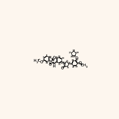 COc1cccc(S(=O)(=O)Nc2cc(N3CC(c4ccc(OC)c(OC5CCCC5)c4)CC3=O)ccc2C)c1